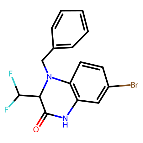 O=C1Nc2cc(Br)ccc2N(Cc2ccccc2)C1C(F)F